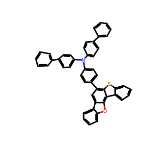 c1ccc(-c2ccc(N(c3ccc(-c4ccccc4)cc3)c3ccc(-c4cc5c6ccccc6oc5c5c4sc4ccccc45)cc3)cc2)cc1